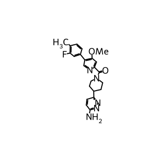 COc1cc(C(=O)N2CCC(c3ccc(N)nn3)CC2)ncc1-c1ccc(C)c(F)c1